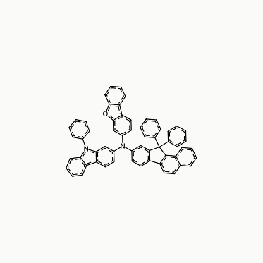 c1ccc(-n2c3ccccc3c3ccc(N(c4ccc5c(c4)C(c4ccccc4)(c4ccccc4)c4c-5ccc5ccccc45)c4ccc5c(c4)oc4ccccc45)cc32)cc1